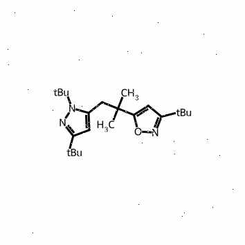 CC(C)(C)c1cc(C(C)(C)Cc2cc(C(C)(C)C)nn2C(C)(C)C)on1